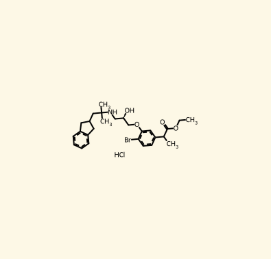 CCOC(=O)C(C)c1ccc(Br)c(OC[C@H](O)CNC(C)(C)CC2Cc3ccccc3C2)c1.Cl